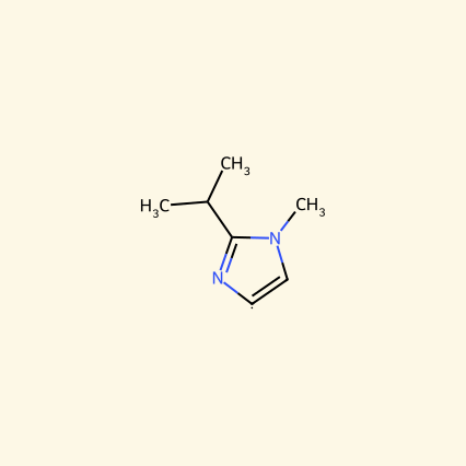 CC(C)c1n[c]cn1C